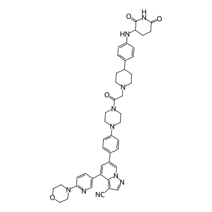 N#Cc1cnn2cc(-c3ccc(N4CCN(C(=O)CN5CCC(c6ccc(NC7CCC(=O)NC7=O)cc6)CC5)CC4)cc3)cc(-c3ccc(N4CCOCC4)nc3)c12